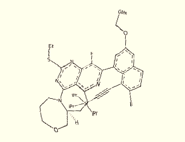 CCSc1nc2c3c(nc(-c4cc(OCOC)cc5ccc(F)c(C#C[Si](C(C)C)(C(C)C)C(C)C)c45)c(F)c3n1)CC[C@H]1COCCCN21